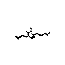 CCCCCC1C=CC(CCCC)=C(C)N1